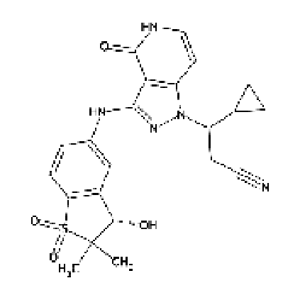 CC1(C)[C@@H](O)c2cc(Nc3nn(C(CC#N)C4CC4)c4cc[nH]c(=O)c34)ccc2S1(=O)=O